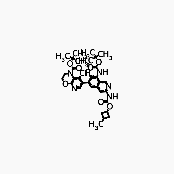 Cc1c(-c2cc3cc(NC(=O)OC4CC(C)C4)ncc3c(NC(=O)OC(C)(C)C)c2F)cnc2c1N(C(=O)OC(C)(C)C)CCO2